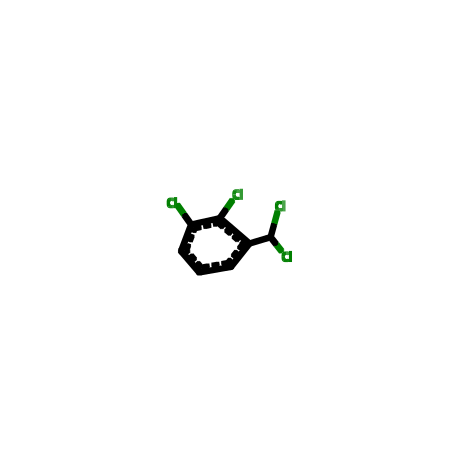 Cl[C](Cl)c1cccc(Cl)c1Cl